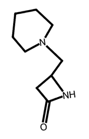 O=C1CC(CN2CCCCC2)N1